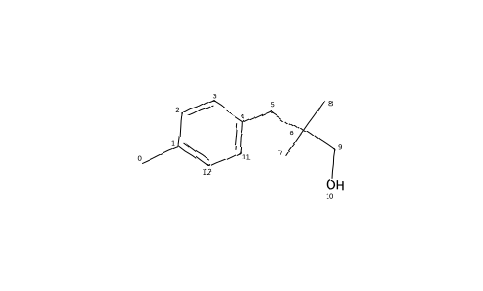 Cc1ccc(CC(C)(C)CO)cc1